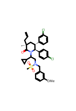 C=CC[C@@]1(C)C[C@H](c2cccc(Cl)c2)[C@@H](c2ccc(Cl)cc2)N(C(CN(Cc2cccc(OC)c2)S(C)(=O)=O)C2CC2)C1=O